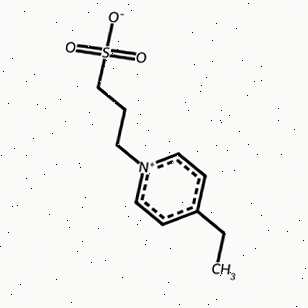 CCc1cc[n+](CCCS(=O)(=O)[O-])cc1